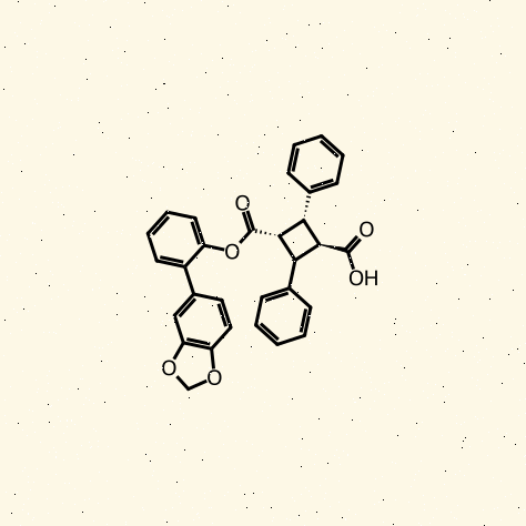 O=C(O)[C@H]1C(c2ccccc2)[C@H](C(=O)Oc2ccccc2-c2ccc3c(c2)OCO3)[C@@H]1c1ccccc1